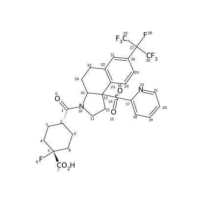 O=C([C@H]1CC[C@](F)(C(=O)O)CC1)N1CCC2(S(=O)(=O)c3ccccn3)c3ccc(C(F)(C(F)(F)F)C(F)(F)F)cc3CCC12